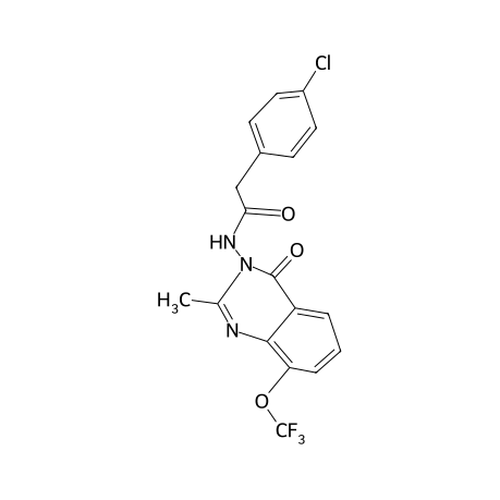 Cc1nc2c(OC(F)(F)F)cccc2c(=O)n1NC(=O)Cc1ccc(Cl)cc1